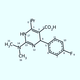 CC(C)C1=C(C(=O)O)C(c2ccc(F)cc2)N=C(N(C)C)N1